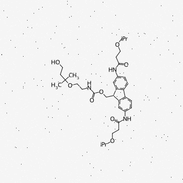 CC(C)OCCC(=O)Nc1ccc2c(c1)C(COC(=O)NCCOC(C)(C)CCO)c1cc(NC(=O)CCOC(C)C)ccc1-2